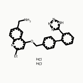 CCc1cc(OCc2ccc(-c3ccccc3-c3nnn[nH]3)cc2)c2cc(CN)ccc2n1.Cl.Cl